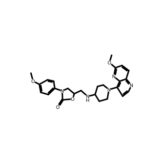 COc1ccc(N2CC(CNC3CCN(c4ccnc5ccc(OC)nc45)CC3)OC2=O)cc1